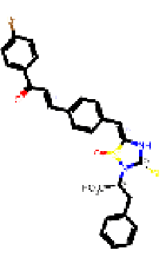 O=C(/C=C/c1ccc(/C=C2/N[C@H](S)N([C@@H](Cc3ccccc3)C(=O)O)[S+]2[O-])cc1)c1ccc(Br)cc1